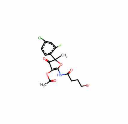 CC(=O)OC1=C(NC(=O)CCCBr)OC(C)(c2ccc(Cl)cc2F)C1=O